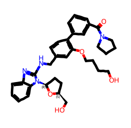 O=C(c1cccc(-c2ccc(CNc3nc4ccccc4n3[C@H]3CC[C@@H](CO)O3)cc2OCCCCO)c1)N1CCCC1